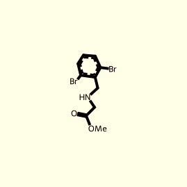 COC(=O)CNCc1c(Br)cccc1Br